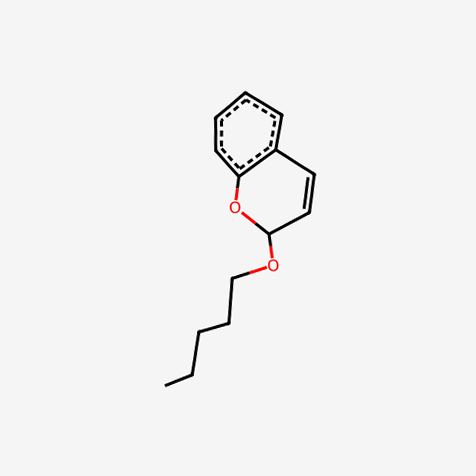 CCCCCOC1C=Cc2ccccc2O1